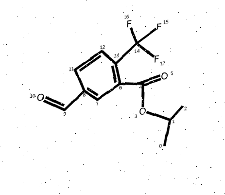 CC(C)OC(=O)c1cc(C=O)ccc1C(F)(F)F